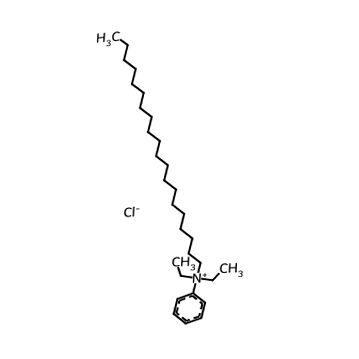 CCCCCCCCCCCCCCCCCCCC[N+](CC)(CC)c1ccccc1.[Cl-]